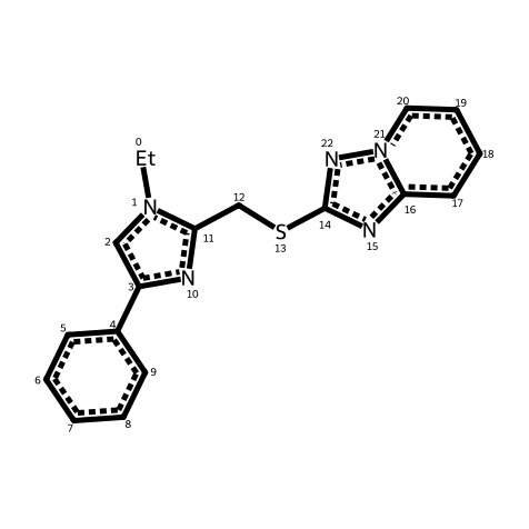 CCn1cc(-c2ccccc2)nc1CSc1nc2ccccn2n1